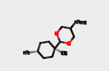 CCCCCC1COC([C@]2(C#N)CC[C@@H](CCC)CC2)OC1